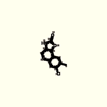 Cc1cc2c(cc1Cl)ncc1[nH]c(=O)oc12